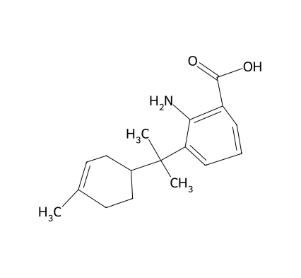 CC1=CCC(C(C)(C)c2cccc(C(=O)O)c2N)CC1